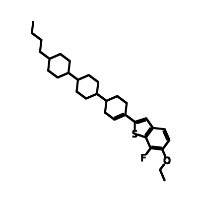 CCCCC1CCC(C2CCC(C3CC=C(c4cc5ccc(OCC)c(F)c5s4)CC3)CC2)CC1